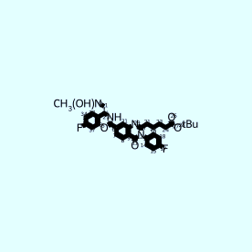 CN(O)C[C@H](NC(=O)c1ccc2c(=O)n(-c3ccc(F)cc3)c(CCCCC(=O)OC(C)(C)C)nc2c1)c1ccc(F)cc1